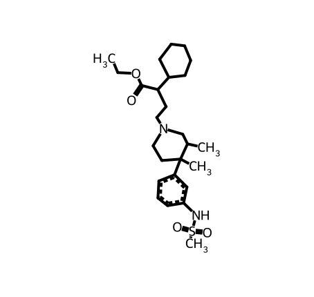 CCOC(=O)C(CCN1CCC(C)(c2cccc(NS(C)(=O)=O)c2)C(C)C1)C1CCCCC1